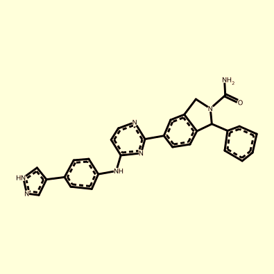 NC(=O)N1Cc2cc(-c3nccc(Nc4ccc(-c5cn[nH]c5)cc4)n3)ccc2C1c1ccccc1